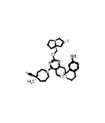 C[C@@]1(C#N)CCCN(c2nc(OC[C@@]34CCCN3C[C@H](F)C4)nc3c2CO[C@@]2(CCCc4ccc(N)cc42)C3)CC1